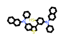 Sc1ccc(N(c2ccccc2)c2ccc3ccccc3c2)cc1-c1csc2ccc(N(c3ccccc3)c3ccc4ccccc4c3)cc12